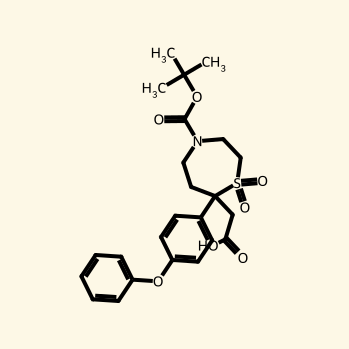 CC(C)(C)OC(=O)N1CCC(CC(=O)O)(c2ccc(Oc3ccccc3)cc2)S(=O)(=O)CC1